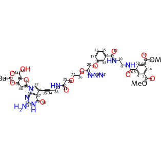 COC(=O)c1cc(C(=O)NCCNC(=O)c2cccc(OCC(N=[N+]=[N-])OCCOCC(=O)NCC#Cc3cn([C@H]4C[C@H](OC(=O)C(C)(C)C)[C@@H](CO)O4)c4nc(N)[nH]c(=O)c34)c2)cc(C(=O)OC)c1